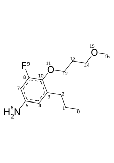 CCCc1cc(N)cc(F)c1OCCCOC